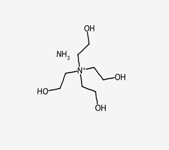 N.OCC[N+](CCO)(CCO)CCO